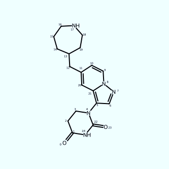 O=C1CCN(c2cnn3ccc(CC4CCCNCC4)cc23)C(=O)N1